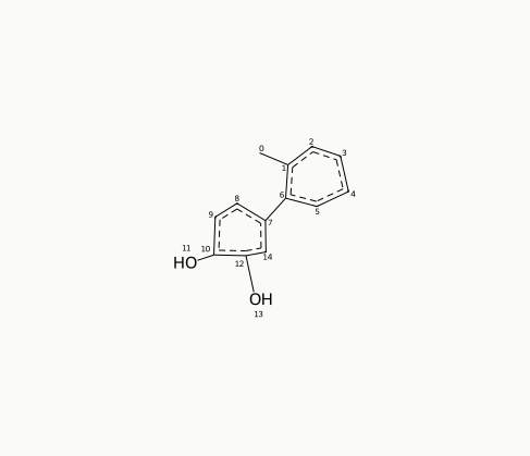 Cc1ccccc1-c1ccc(O)c(O)c1